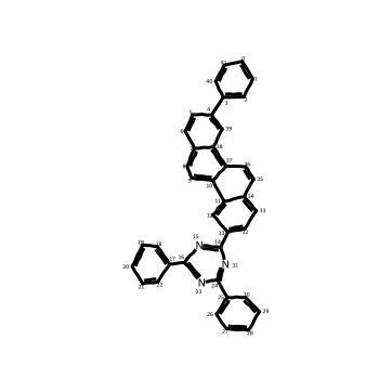 c1ccc(-c2ccc3ccc4c5cc(-c6nc(-c7ccccc7)nc(-c7ccccc7)n6)ccc5ccc4c3c2)cc1